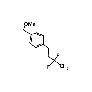 COCc1ccc(CCC(C)(F)F)cc1